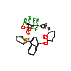 O=S(=O)([O-])C(F)(F)C(F)(F)C(F)(F)C(F)(F)F.c1ccc2c([S+]3CCCC3)ccc(OC3CCCCO3)c2c1